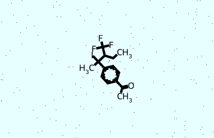 CCC(C(F)(F)F)C(C)(I)c1ccc(C(C)=O)cc1